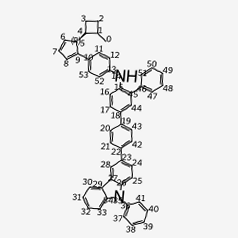 CC1CCC1[C@@H]1C=CC=C1c1ccc(Nc2ccc(-c3ccc(-c4ccc5c(c4)c4ccccc4n5-c4ccccc4)cc3)cc2-c2ccccc2)cc1